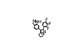 Fc1ccc(-c2nn3c(c2-c2ccc4cn[nH]c4c2)CCC3)c(F)c1F